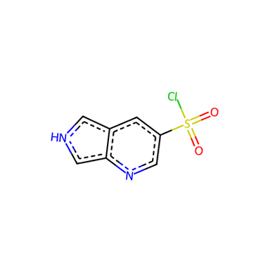 O=S(=O)(Cl)c1cnc2c[nH]cc2c1